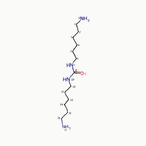 NCCCCCCNC(=O)NCCCCCCN